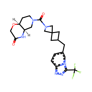 O=C1CO[C@H]2CCN(C(=O)N3CC4(CC(Cc5ccc6nnc(C(F)(F)F)n6c5)C4)C3)C[C@H]2N1